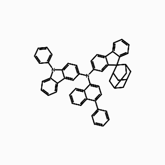 c1ccc(-c2ccc(N(c3ccc4c(c3)C3(c5ccccc5-4)C4CC5CC(C4)CC3C5)c3ccc4c(c3)c3ccccc3n4-c3ccccc3)c3ccccc23)cc1